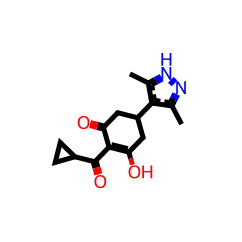 Cc1n[nH]c(C)c1C1CC(=O)C(C(=O)C2CC2)=C(O)C1